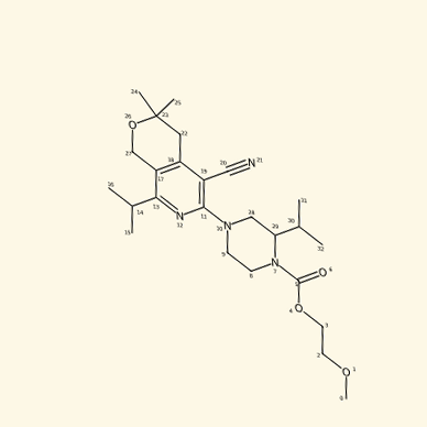 COCCOC(=O)N1CCN(c2nc(C(C)C)c3c(c2C#N)CC(C)(C)OC3)CC1C(C)C